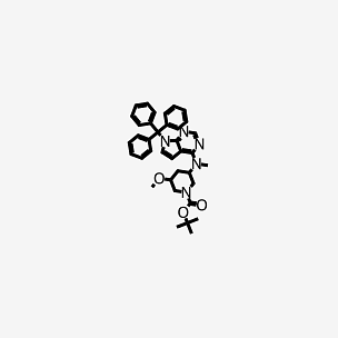 COC1CC(N(C)c2ncnc3c2ccn3C(c2ccccc2)(c2ccccc2)c2ccccc2)CN(C(=O)OC(C)(C)C)C1